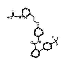 O=C(O)Nc1cccc(CCOc2ccc(NC(=O)c3ccccc3-c3ccc(C(F)(F)F)cc3)cc2)n1